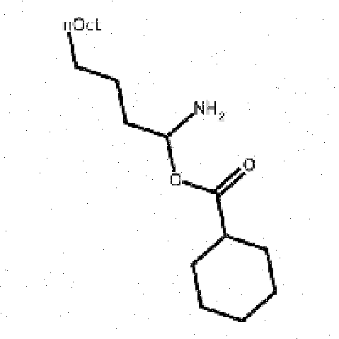 CCCCCCCCCCCC(N)OC(=O)C1CCCCC1